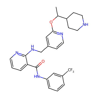 CC(Oc1cc(CNc2ncccc2C(=O)Nc2cccc(C(F)(F)F)c2)ccn1)C1CCNCC1